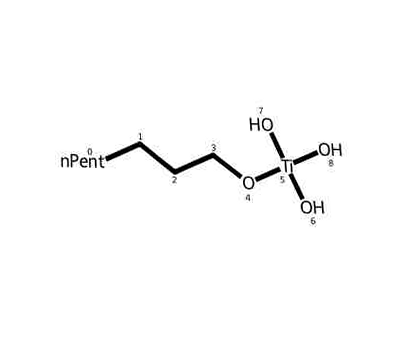 CCCCCCCC[O][Ti]([OH])([OH])[OH]